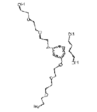 OCCCCO.OCCOCCOCCOc1cccc(OCCOCCOCCO)c1